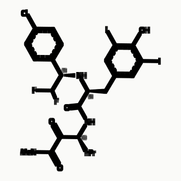 CCC[C@H](NC(=O)[C@H](Cc1cc(I)c(O)c(I)c1)N[C@@H](c1ccc(Cl)cc1)C(F)F)C(=O)C(=O)NC